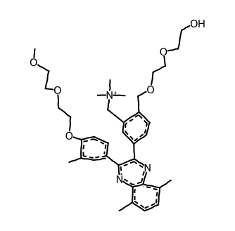 COCCOCCOc1ccc(-c2nc3c(C)ccc(C)c3nc2-c2ccc(COCCOCCO)c(C[N+](C)(C)C)c2)cc1C